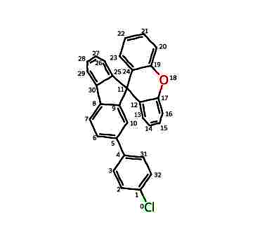 Clc1ccc(-c2ccc3c(c2)C2(c4ccccc4Oc4ccccc42)c2ccccc2-3)cc1